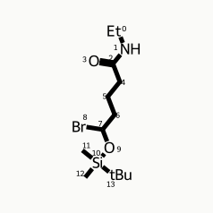 CCNC(=O)CCCC(Br)O[Si](C)(C)C(C)(C)C